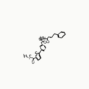 CC(=O)c1ccc(-c2cccc(CS(=O)(=O)NC(=O)CCCc3ccccc3)c2)s1